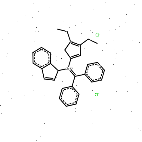 CCC1=C(CC)C[C]([Zr+2](=[C](c2ccccc2)c2ccccc2)[CH]2C=Cc3ccccc32)=C1.[Cl-].[Cl-]